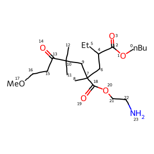 CCCCOC(=O)C(CC)CC(C)(CC(C)(C)C(=O)CCOC)C(=O)OCCN